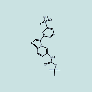 CC(C)(C)OC(=O)Nc1ccc2ncc(-c3cccc(S(N)(=O)=O)c3)n2c1